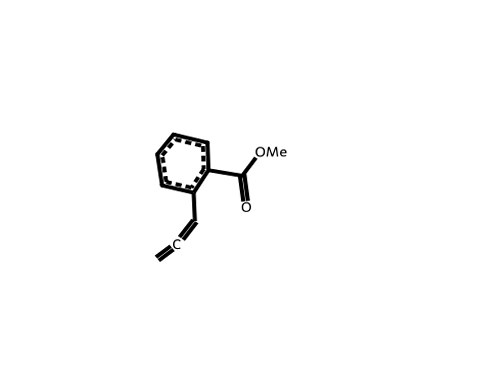 C=C=Cc1ccccc1C(=O)OC